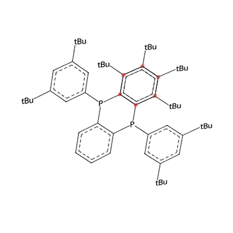 CC(C)(C)c1cc(P(c2cc(C(C)(C)C)cc(C(C)(C)C)c2)c2ccccc2P(c2cc(C(C)(C)C)cc(C(C)(C)C)c2)c2cc(C(C)(C)C)cc(C(C)(C)C)c2)cc(C(C)(C)C)c1